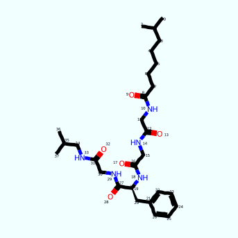 CC(C)CCCCCC(=O)NCC(=O)NCC(=O)N[C@@H](Cc1ccccc1)C(=O)NCC(=O)NCC(C)C